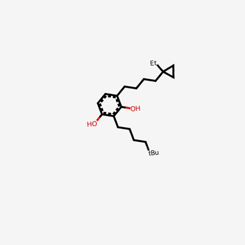 CCC1(CCCCc2ccc(O)c(CCCCC(C)(C)C)c2O)CC1